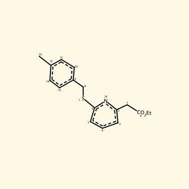 CCOC(=O)Cc1cccc(SCc2ccc(C)cc2)n1